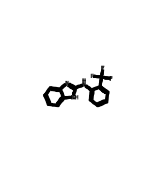 FC(F)(F)c1ccccc1Nc1nc2ccccc2[nH]1